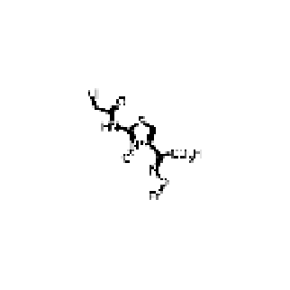 CCO/N=C(\C(=O)O)c1csc(NC(=O)CCl)[n+]1[O-]